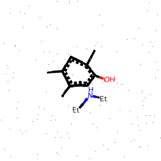 CCNCC.Cc1cc(C)c(O)cc1C